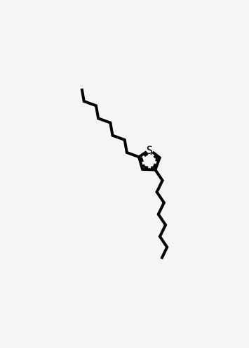 CCCCCCCCc1csc(CCCCCCCC)c1